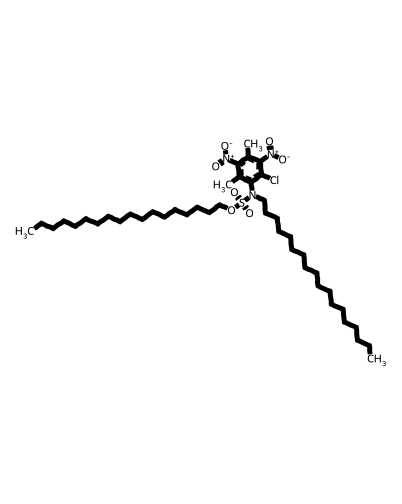 CCCCCCCCCCCCCCCCCCOS(=O)(=O)N(CCCCCCCCCCCCCCCCCC)c1c(C)c([N+](=O)[O-])c(C)c([N+](=O)[O-])c1Cl